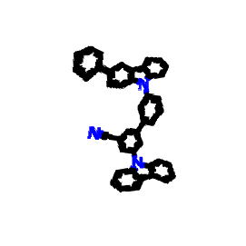 N#Cc1cc(-c2cccc(-n3c4ccccc4c4cc(-c5ccccc5)ccc43)c2)cc(-n2c3ccccc3c3ccccc32)c1